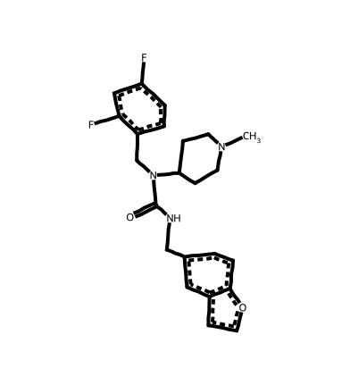 CN1CCC(N(Cc2ccc(F)cc2F)C(=O)NCc2ccc3occc3c2)CC1